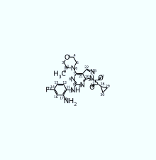 C[C@@H]1COCCN1c1nc(Nc2ccc(F)cc2N)nc2c1cnn2S(=O)(=O)C1CC1